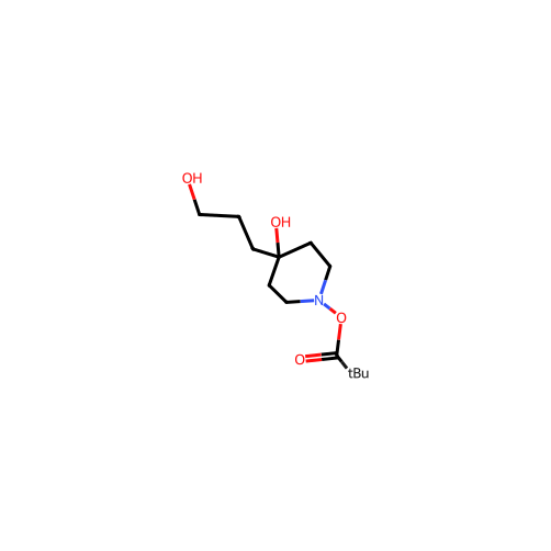 CC(C)(C)C(=O)ON1CCC(O)(CCCO)CC1